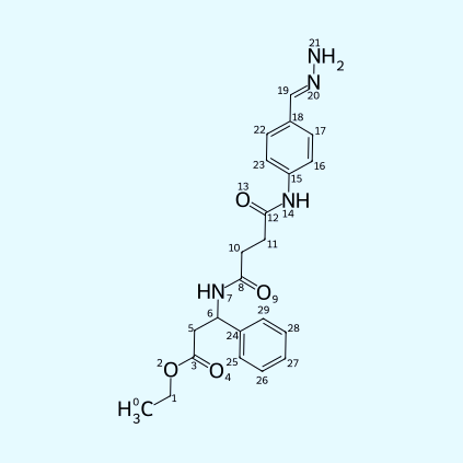 CCOC(=O)CC(NC(=O)CCC(=O)Nc1ccc(C=NN)cc1)c1ccccc1